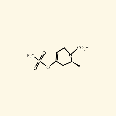 C[C@H]1CC(OS(=O)(=O)C(F)(F)F)=CCN1C(=O)O